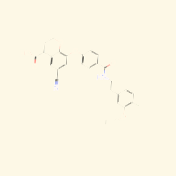 COc1cc(CCNC(=O)c2ccc(Oc3cc(C#N)cc4c3OCCC4C(=O)O)cc2)ccc1Cl